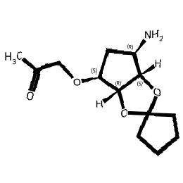 CC(=O)CO[C@H]1C[C@@H](N)[C@@H]2OC3(CCCC3)O[C@@H]21